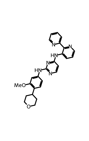 COc1cc(Nc2nccc(Nc3cccnc3-c3ccccn3)n2)ccc1C1CCOCC1